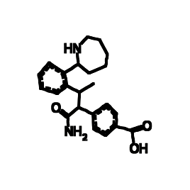 CC(c1ccccc1C1CCCCCN1)C(C(N)=O)c1ccc(C(=O)O)cc1